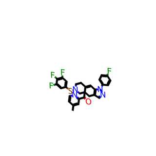 Cc1ccnc(C(=O)C23Cc4cnn(-c5ccc(F)cc5)c4C=C2CCN(Sc2cc(F)c(F)c(F)c2)C3)c1